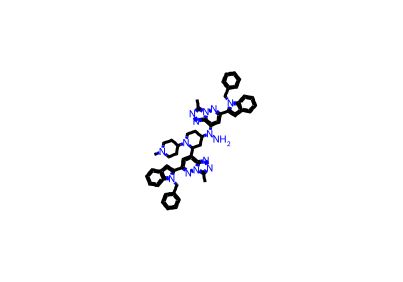 Cc1nnc2c(C3CC(N(N)c4cc(-c5cc6ccccc6n5Cc5ccccc5)nn5c(C)nnc45)CCN3C3CCN(C)CC3)cc(-c3cc4ccccc4n3Cc3ccccc3)nn12